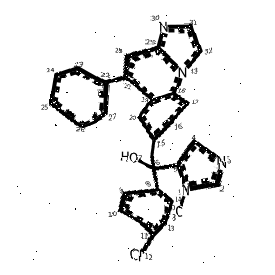 Cn1cncc1C(O)(c1ccc(Cl)cc1)c1ccc2c(c1)c(-c1ccccc1)cc1nccn12